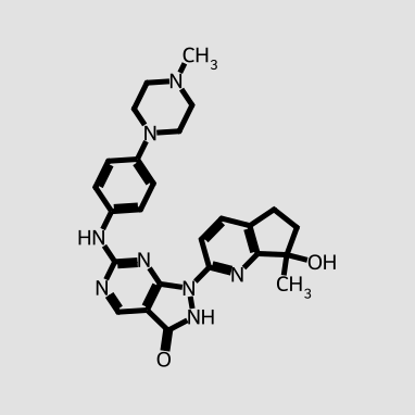 CN1CCN(c2ccc(Nc3ncc4c(=O)[nH]n(-c5ccc6c(n5)C(C)(O)CC6)c4n3)cc2)CC1